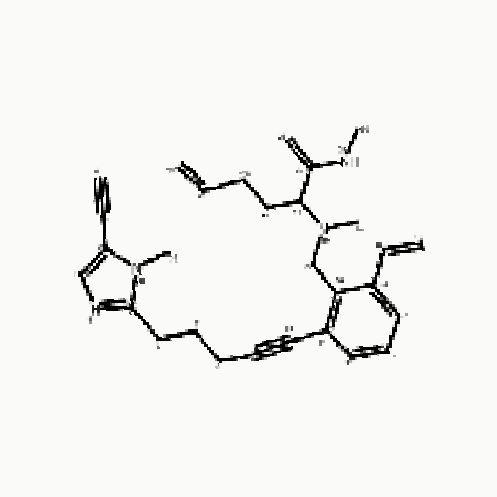 C#Cc1cnc(CCCC#Cc2cccc(C=C)c2CN(C)C(CCC=C)C(=C)NC)n1C